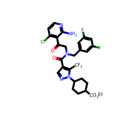 CCOC(=O)C1CCC(n2ncc(C(=O)N(CC(=O)c3c(Cl)ccnc3N)Cc3cc(F)cc(F)c3)c2C(F)(F)F)CC1